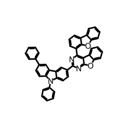 c1ccc(-c2ccc3c(c2)c2cc(-c4nc(-c5cccc6c5oc5ccccc56)c5c(n4)oc4ccccc45)ccc2n3-c2ccccc2)cc1